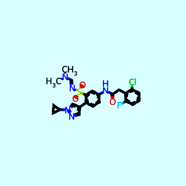 CN(C)/C=N/S(=O)(=O)c1cc(NC(=O)Cc2c(F)cccc2Cl)ccc1-c1cnn(C2CC2)c1